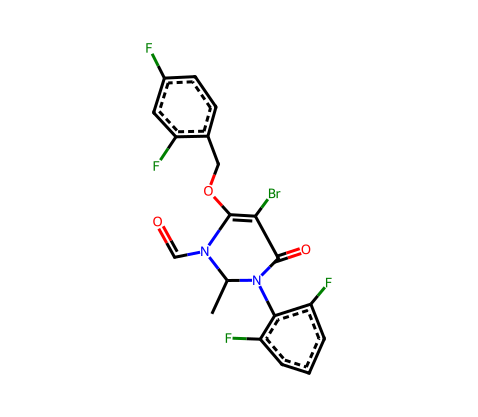 CC1N(C=O)C(OCc2ccc(F)cc2F)=C(Br)C(=O)N1c1c(F)cccc1F